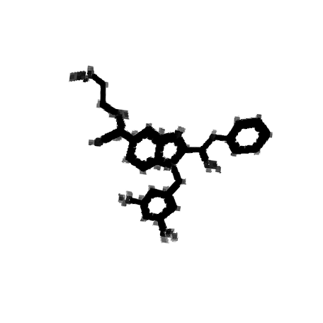 CC(Oc1ccccc1)c1nc2cc(C(=O)NCCC(=O)O)ccc2n1Cc1cc(C(F)(F)F)cc(C(F)(F)F)c1